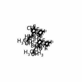 CC(C)(O)CON(Br)C(=O)c1ccc(F)c(F)c1Nc1ccc(I)cc1F.CC(C)(O)CONC(=O)c1cc(Cl)c(F)c(F)c1Nc1ccc(I)cc1F